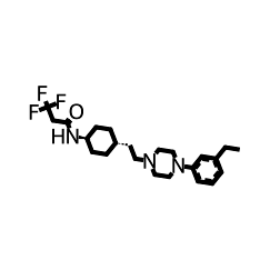 CCc1cccc(N2CCN(CC[C@H]3CC[C@H](NC(=O)CC(F)(F)F)CC3)CC2)c1